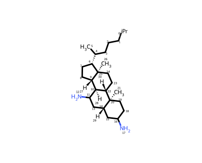 CC(C)CCCC(C)[C@H]1CC[C@H]2[C@@H]3C(N)C[C@H]4CC(N)CC[C@]4(C)[C@H]3CC[C@]12C